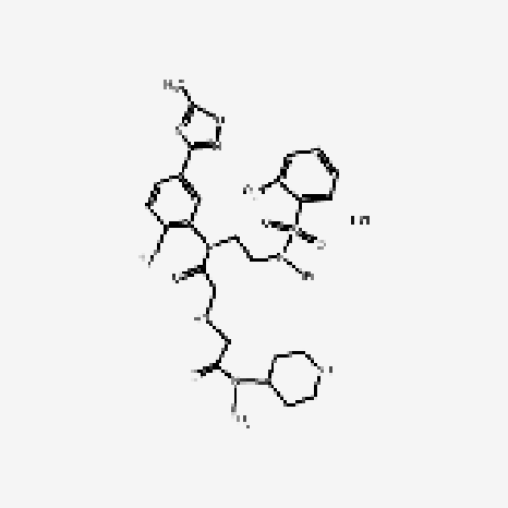 Cc1nc(-c2ccc(C)c(N(CCN(C(C)C)S(=O)(=O)c3ccccc3[N+](=O)[O-])C(=O)CNCC(=O)N(C)C3CCNCC3)c2)no1.Cl